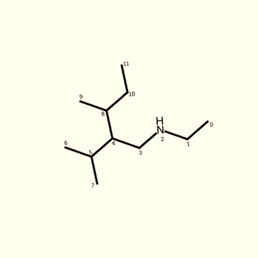 CCNCC(C(C)C)C(C)CC